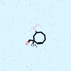 BBC1CCCC=CC(C)(C=O)C1